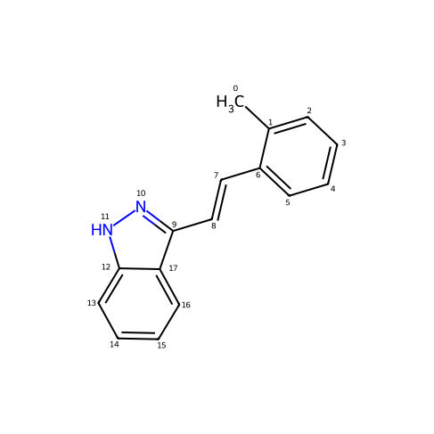 Cc1ccccc1/C=C/c1n[nH]c2ccccc12